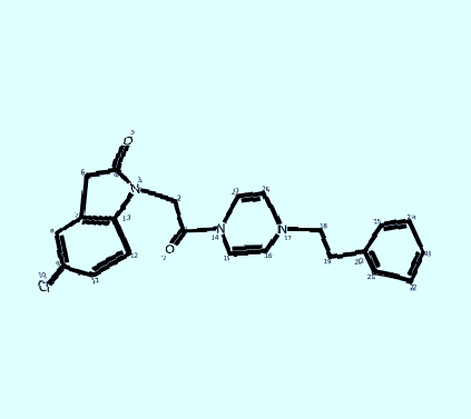 O=C(CN1C(=O)Cc2cc(Cl)ccc21)N1C=CN(CCc2ccccc2)C=C1